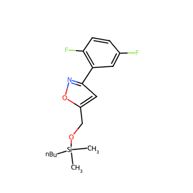 CCCC[Si](C)(C)OCc1cc(-c2cc(F)ccc2F)no1